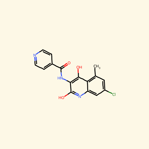 Cc1cc(Cl)cc2nc(O)c(NC(=O)c3ccncc3)c(O)c12